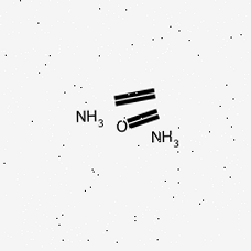 C=C.C=O.N.N